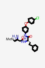 CN/C=C(\N)CC(=O)N[C@@H](CCc1ccccc1)C(=O)Nc1ccc(Oc2ccc(Cl)cc2)cc1